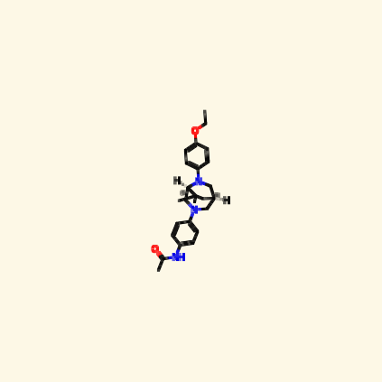 CCOc1ccc(N2C[C@H]3CN(c4ccc(NC(C)=O)cc4)C[C@@H]2C(C)(C)C3)cc1